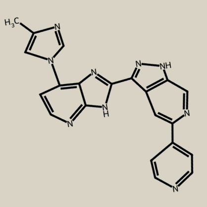 Cc1cn(-c2ccnc3[nH]c(-c4n[nH]c5cnc(-c6ccncc6)cc45)nc23)cn1